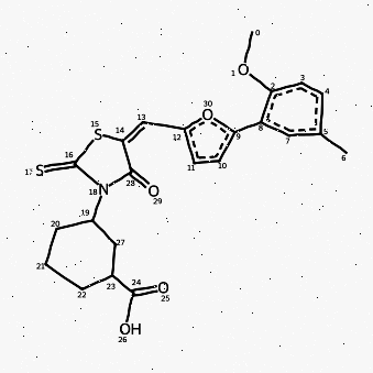 COc1ccc(C)cc1-c1ccc(/C=C2/SC(=S)N(C3CCCC(C(=O)O)C3)C2=O)o1